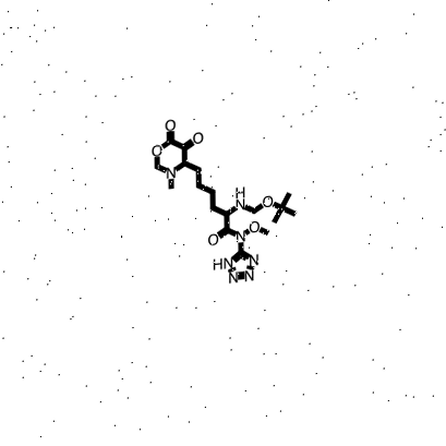 CON(C(=O)C(CCCCC1C(=O)C(=O)OCN1C)NCOC(C)(C)C)c1nnn[nH]1